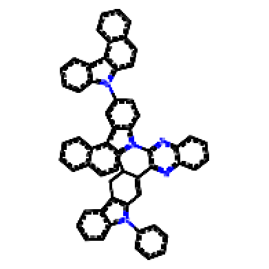 CC1Cc2c(n(-c3ccccc3)c3ccccc23)C=C1c1nc2ccccc2nc1-n1c2ccc(-n3c4ccccc4c4c5ccccc5ccc43)cc2c2c3ccccc3ccc21